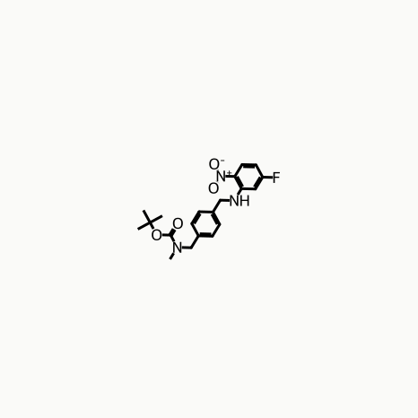 CN(Cc1ccc(CNc2cc(F)ccc2[N+](=O)[O-])cc1)C(=O)OC(C)(C)C